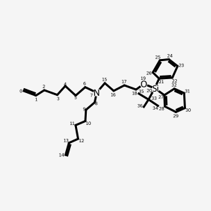 C=CCCCCCN(CCCCCC=C)CCCCO[Si](c1ccccc1)(c1ccccc1)C(C)(C)C